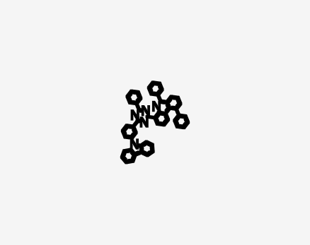 c1ccc(-c2nc(-c3cccc(-n4c5ccccc5c5ccccc54)c3)nc(-c3cccc4c3nc(-c3ccccc3)c3cccc(-c5ccccc5)c34)n2)cc1